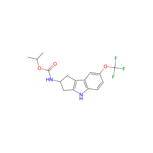 CC(C)OC(=O)NC1Cc2[nH]c3ccc(OC(F)(F)F)cc3c2C1